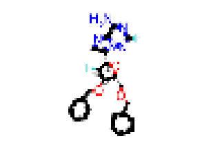 Nc1nc(F)nn2c([C@@H]3O[C@H](COCc4ccccc4)[C@@H](OCc4ccccc4)[C@H]3F)cnc12